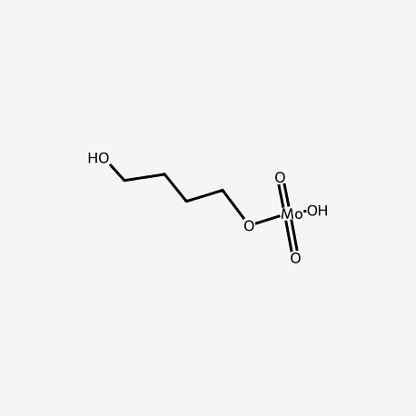 [O]=[Mo](=[O])([OH])[O]CCCCO